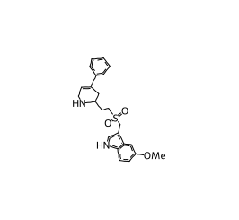 COc1ccc2[nH]cc(CS(=O)(=O)CCC3CC(c4ccccc4)=CCN3)c2c1